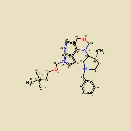 C[C@@H]1CCN(Cc2ccccc2)CC1N1COCc2cnc3c(ccn3COCC[Si](C)(C)C)c21